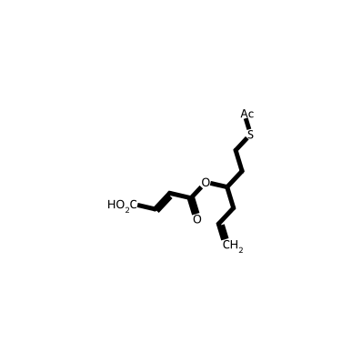 C=CCC(CCSC(C)=O)OC(=O)C=CC(=O)O